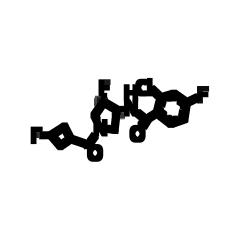 O=C(N[C@@H]1CN(C(=O)C2CC(F)C2)C[C@@H]1F)c1ccc(F)cc1Cl